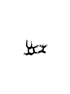 Cc1nc2cc(F)c(CBr)c(F)c2[nH]c1=O